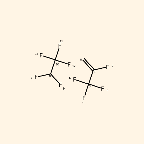 C=C(F)C(F)(F)F.FC(F)C(F)(F)F